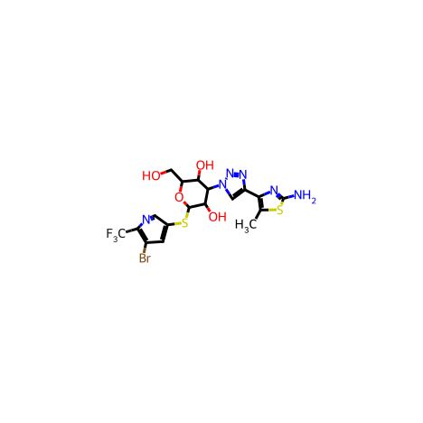 Cc1sc(N)nc1-c1cn(C2C(O)C(CO)OC(Sc3cnc(C(F)(F)F)c(Br)c3)C2O)nn1